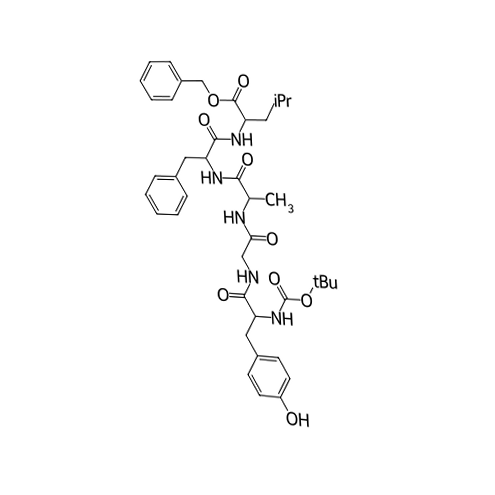 CC(C)CC(NC(=O)C(Cc1ccccc1)NC(=O)C(C)NC(=O)CNC(=O)C(Cc1ccc(O)cc1)NC(=O)OC(C)(C)C)C(=O)OCc1ccccc1